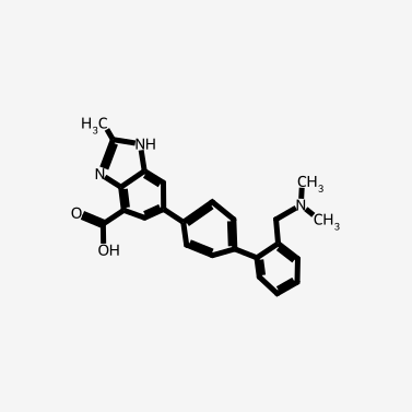 Cc1nc2c(C(=O)O)cc(-c3ccc(-c4ccccc4CN(C)C)cc3)cc2[nH]1